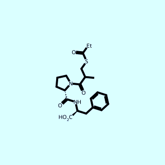 CCC(=O)SCC(C)C(=O)N1CCC[C@H]1C(=O)N[C@@H](Cc1ccccc1)C(=O)O